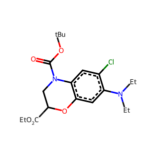 CCOC(=O)C1CN(C(=O)OC(C)(C)C)c2cc(Cl)c(N(CC)CC)cc2O1